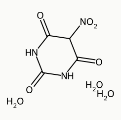 O.O.O.O=C1NC(=O)C([N+](=O)[O-])C(=O)N1